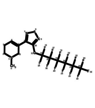 CN1CCC=C(c2nsnc2OC(F)(F)C(F)(F)C(F)(F)C(F)(F)C(F)(F)C(F)(F)F)C1